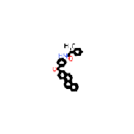 Cc1ccccc1CC(=O)Nc1ccc(C(=O)C2C=c3ccc4c(c3CC2)CC=c2ccccc2=4)cc1